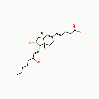 CCCCCC(O)C=C[C@H]1[C@H]2CCC(C=CCCC(=O)O)=C[C@@H]2C[C@H]1O